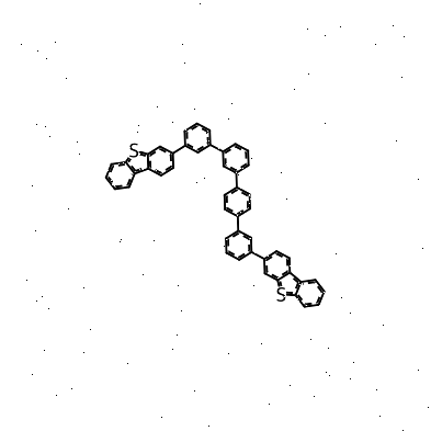 c1cc(-c2ccc(-c3cccc(-c4ccc5c(c4)sc4ccccc45)c3)cc2)cc(-c2cccc(-c3ccc4c(c3)sc3ccccc34)c2)c1